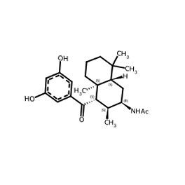 CC(=O)N[C@@H]1C[C@H]2C(C)(C)CCC[C@]2(C)[C@@H](C(=O)c2cc(O)cc(O)c2)[C@@H]1C